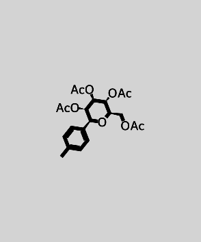 CC(=O)OC[C@H]1O[C@@H](c2ccc(C)cc2)[C@H](OC(C)=O)[C@@H](OC(C)=O)[C@@H]1OC(C)=O